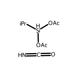 CC(=O)O[SiH](OC(C)=O)C(C)C.N=C=O